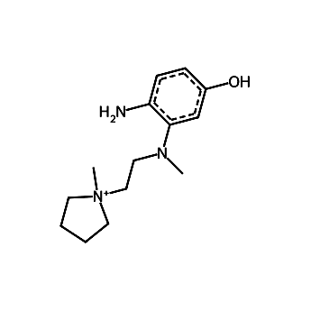 CN(CC[N+]1(C)CCCC1)c1cc(O)ccc1N